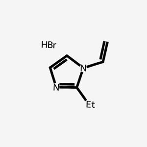 Br.C=Cn1ccnc1CC